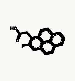 O=C(O)Cc1c(I)cc2ccc3cccc4ccc1c2c34